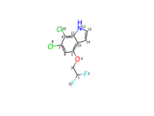 FC(F)COc1cc(Cl)c(Cl)c2[nH]ccc12